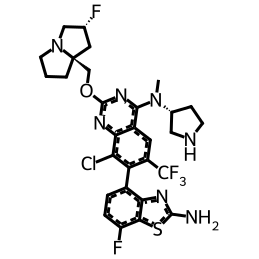 CN(c1nc(OC[C@@]23CCCN2C[C@H](F)C3)nc2c(Cl)c(-c3ccc(F)c4sc(N)nc34)c(C(F)(F)F)cc12)[C@@H]1CCNC1